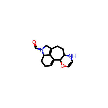 O=CN1CC2=C3C(=CCCC31)C1OC=CNC1CC2